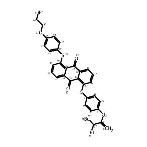 C=C(Oc1ccc(Sc2cccc3c2C(=O)c2cccc(Sc4ccc(OCCC(C)C)cc4)c2C3=O)cc1)C(CC)CCCC